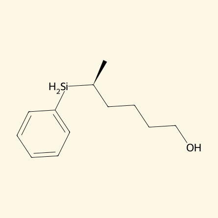 C[C@@H](CCCCO)[SiH2]c1ccccc1